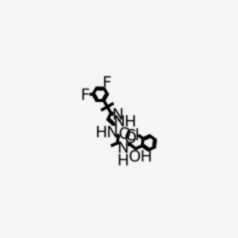 CC(NC(=O)C(O)c1ccccc1Cl)C(=O)Nc1cc(C(C)(C)c2cc(F)cc(F)c2)n[nH]1